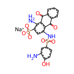 Nc1cc(S(=O)(=O)Nc2cc(S(=O)(=O)[O-])c(N)c3c2C(=O)c2ccccc2C3=O)ccc1O.[Na+]